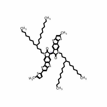 CCCCCCCCCCC(CCCCCCCC)CCCN1C(=O)/C(=C2/C(=O)N(CCCC(CCCCCCCC)CCCCCCCCCC)c3cc4c(cc32)sc2cc(-c3ccc(C)s3)sc24)c2cc3sc4cc(C)sc4c3cc21